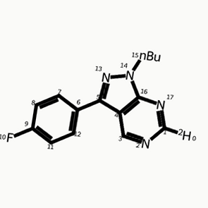 [2H]c1ncc2c(-c3ccc(F)cc3)nn(CCCC)c2n1